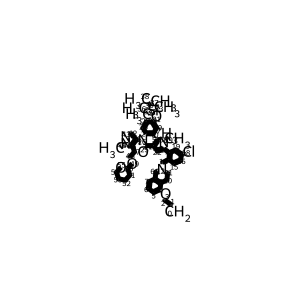 C=CCOc1cccc2c1CCN(Cc1ccc(Cl)cc1-c1cc(C(=O)N(c3ccc(O[Si](C)(C)C(C)(C)C)cc3)c3cnn(C)c3CCOC3CCCCO3)c(C)n1C)C2